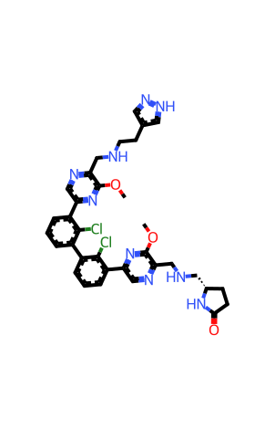 COc1nc(-c2cccc(-c3cccc(-c4cnc(CNC[C@@H]5CCC(=O)N5)c(OC)n4)c3Cl)c2Cl)cnc1CNCCc1cn[nH]c1